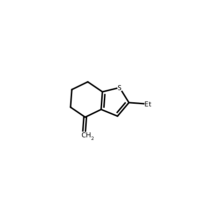 C=C1CCCc2sc(CC)cc21